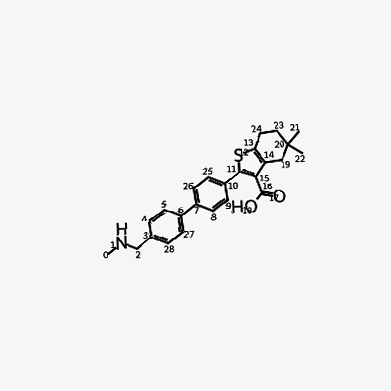 CNCc1ccc(-c2ccc(-c3sc4c(c3C(=O)O)CC(C)(C)CC4)cc2)cc1